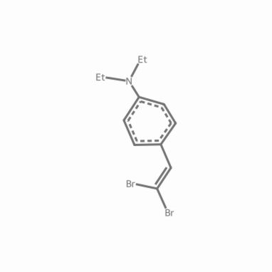 CCN(CC)c1ccc(C=C(Br)Br)cc1